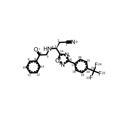 N#CC[C@H](NCC(=O)c1ccccc1)c1nc(-c2ccc(C(F)(F)F)cc2)no1